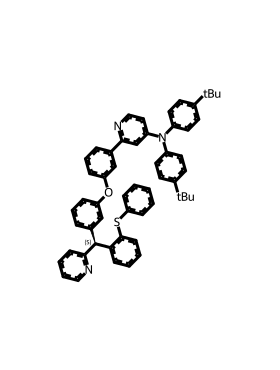 CC(C)(C)c1ccc(N(c2ccc(C(C)(C)C)cc2)c2ccnc(-c3cccc(Oc4cccc([C@H](c5ccccn5)c5ccccc5Sc5ccccc5)c4)c3)c2)cc1